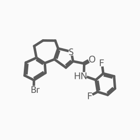 O=C(Nc1c(F)cccc1F)c1cc2c(s1)CCCc1ccc(Br)cc1-2